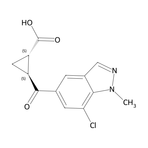 Cn1ncc2cc(C(=O)[C@H]3C[C@@H]3C(=O)O)cc(Cl)c21